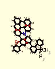 CC1(C)c2ccccc2-c2c(-c3ccc(N(c4ccccc4-c4cccc5c4oc4ccccc45)c4ccccc4-c4cccc5cccc(-c6ccccc6)c45)cc3)cccc21